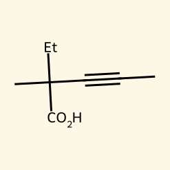 CC#CC(C)(CC)C(=O)O